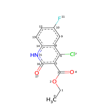 CCOC(=O)c1c(Cl)c2cc(F)ccc2[nH]c1=O